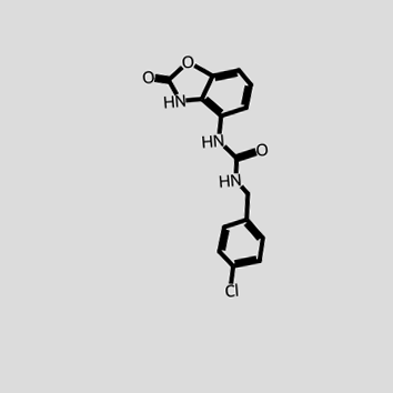 O=C(NCc1ccc(Cl)cc1)Nc1cccc2oc(=O)[nH]c12